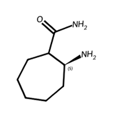 NC(=O)C1CCCCC[C@@H]1N